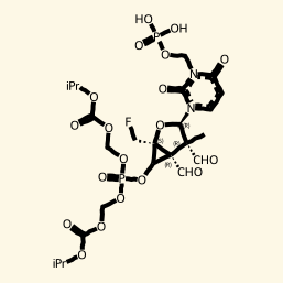 CC(C)OC(=O)OCOP(=O)(OCOC(=O)OC(C)C)OC1[C@]2(C=O)[C@@](C)(C=O)[C@H](n3ccc(=O)n(COP(=O)(O)O)c3=O)O[C@]12CF